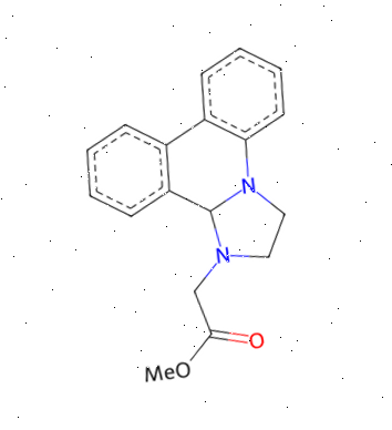 COC(=O)CN1CCN2c3ccccc3-c3ccccc3C12